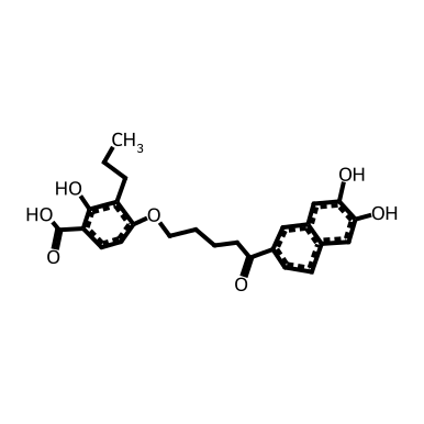 CCCc1c(OCCCCC(=O)c2ccc3cc(O)c(O)cc3c2)ccc(C(=O)O)c1O